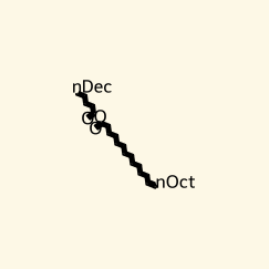 CCCCCCCC/C=C\CCCCCCCCCCCC(=O)OC(=O)CCCCCCCCCCCCCC